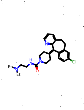 CCN(CC)CCNC(=O)N1CCC(=C2c3ccc(Cl)cc3CCc3cccnc32)CC1